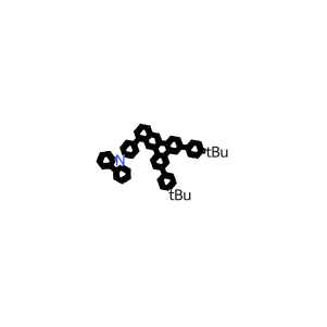 CC(C)(C)c1ccc(-c2ccc3c(c2)c2cc(-c4ccc(C(C)(C)C)cc4)ccc2c2cc4c(-c5ccc(-n6c7ccccc7c7ccccc76)cc5)cccc4cc32)cc1